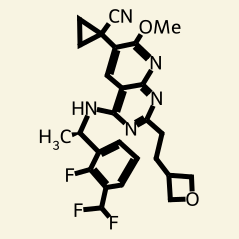 COc1nc2nc(CCC3COC3)nc(N[C@H](C)c3cccc(C(F)F)c3F)c2cc1C1(C#N)CC1